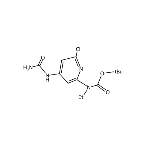 CCN(C(=O)OC(C)(C)C)c1cc(NC(N)=O)cc(Cl)n1